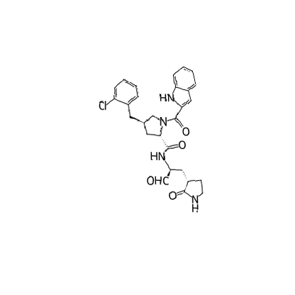 O=C[C@H](C[C@@H]1CCNC1=O)NC(=O)[C@@H]1C[C@@H](Cc2ccccc2Cl)CN1C(=O)c1cc2ccccc2[nH]1